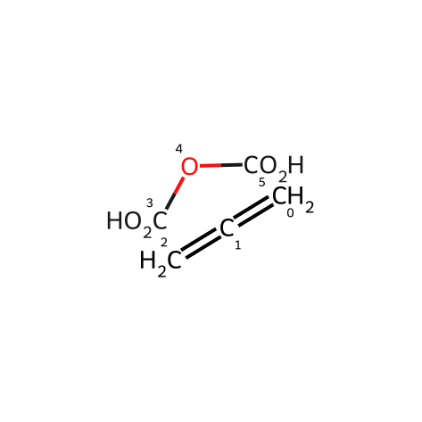 C=C=C.O=C(O)OC(=O)O